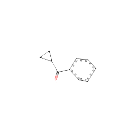 O=C(c1c[c]ccc1)C1CC1